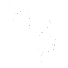 Nc1ccc(-c2cc(Cl)c(N)cc2[N+](=O)[O-])cc1